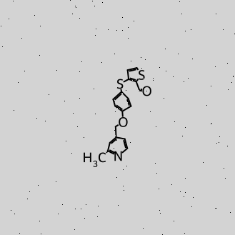 Cc1cc(COc2ccc(Sc3ccsc3C=O)cc2)ccn1